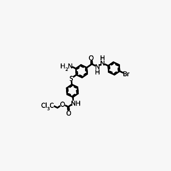 Nc1cc(C(=O)NNc2ccc(Br)cc2)ccc1Sc1ccc(NC(=O)OCC(Cl)(Cl)Cl)cc1